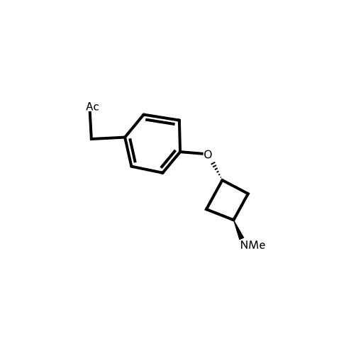 CN[C@H]1C[C@H](Oc2ccc(CC(C)=O)cc2)C1